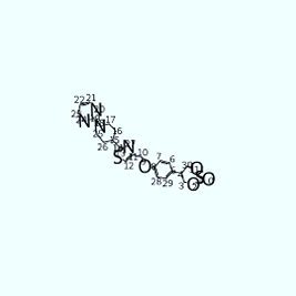 O=[S@]1OC[C@@H](c2ccc(OCc3csc(C4CCN(c5ncccn5)CC4)n3)cc2)CO1